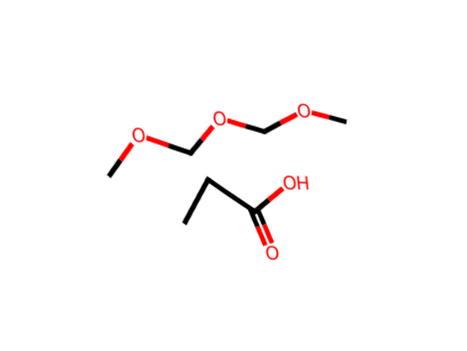 CCC(=O)O.COCOCOC